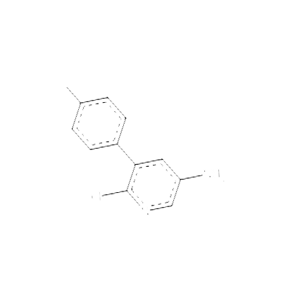 Nc1cnc(Cl)c(-c2ccc(F)cc2)c1